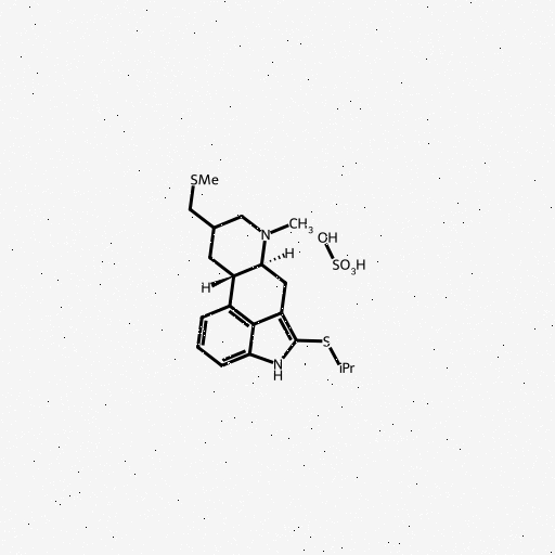 CSCC1C[C@H]2c3cccc4[nH]c(SC(C)C)c(c34)C[C@@H]2N(C)C1.O=S(=O)(O)O